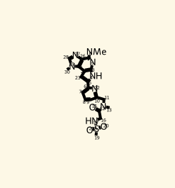 CNc1nc2[nH]c(-c3cccc(CN(C)C(=O)CNS(C)(=O)=O)n3)cc2c2c1ncn2C